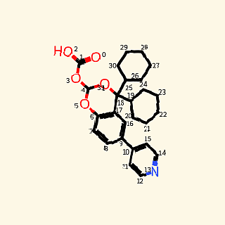 O=C(O)OC1Oc2ccc(-c3ccncc3)cc2C(C2CCCCC2)(C2CCCCC2)O1